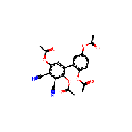 CC(=O)Oc1ccc(OC(C)=O)c(-c2cc(OC(C)=O)c(C#N)c(C#N)c2OC(C)=O)c1